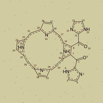 O=C(c1ncc[nH]1)c1c(C(=O)c2ncc[nH]2)c2cc3nc(cc4ccc(cc5nc(cc1[nH]2)C=C5)[nH]4)C=C3